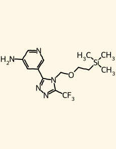 C[Si](C)(C)CCOCn1c(-c2cncc(N)c2)nnc1C(F)(F)F